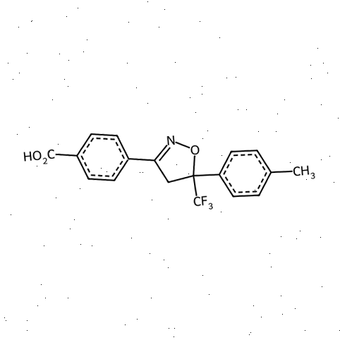 Cc1ccc(C2(C(F)(F)F)CC(c3ccc(C(=O)O)cc3)=NO2)cc1